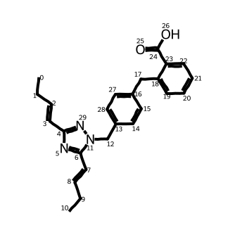 CCC=Cc1nc(C=CCC)n(Cc2ccc(Cc3ccccc3C(=O)O)cc2)n1